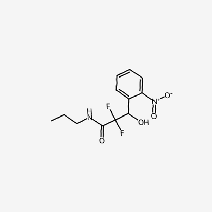 CCCNC(=O)C(F)(F)C(O)c1ccccc1[N+](=O)[O-]